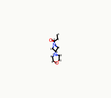 CCC(=O)N1CC(N2CCOCC2)C1